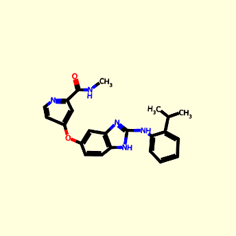 CNC(=O)c1cc(Oc2ccc3[nH]c(Nc4ccccc4C(C)C)nc3c2)ccn1